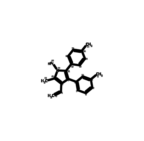 C=Cc1c(-c2cccc(C)c2)c(-c2ccc(C)cc2)n(CCC)c1C